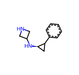 c1ccc(C2C[C@H]2NC2CNC2)cc1